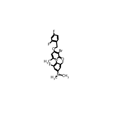 Cc1cc(OCc2ccc(F)cc2F)c(Br)c(=O)n1-c1c(F)cc(N(C)C)cc1F